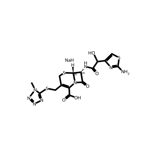 Cn1nnnc1SCC1=C(C(=O)O)N2C(=O)[C@@H](NC(=O)C(O)c3csc(N)n3)[C@H]2SC1.[NaH]